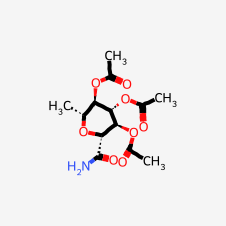 CC(=O)O[C@@H]1[C@@H](OC(C)=O)[C@H](C(N)=O)O[C@H](C)[C@H]1OC(C)=O